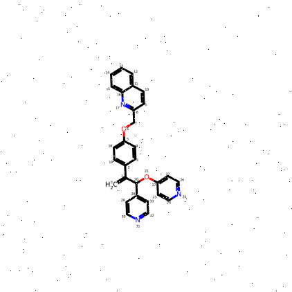 C=C(c1ccc(OCc2ccc3ccccc3n2)cc1)C(Oc1ccncc1)c1ccncc1